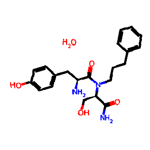 NC(=O)[C@@H](CO)N(CCCc1ccccc1)C(=O)[C@@H](N)Cc1ccc(O)cc1.O